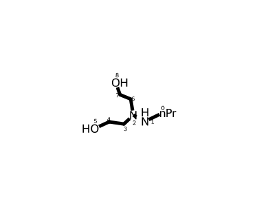 CCCNN(CCO)CCO